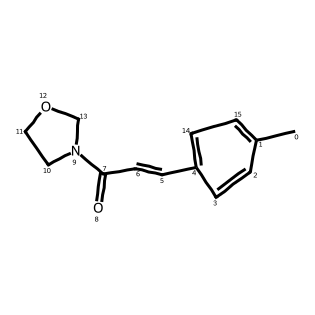 Cc1ccc(C=CC(=O)N2CCOC2)cc1